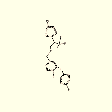 Fc1ccc(COCC(c2ccc(Br)cc2)C(F)(F)F)cc1Oc1ccc(Cl)cc1